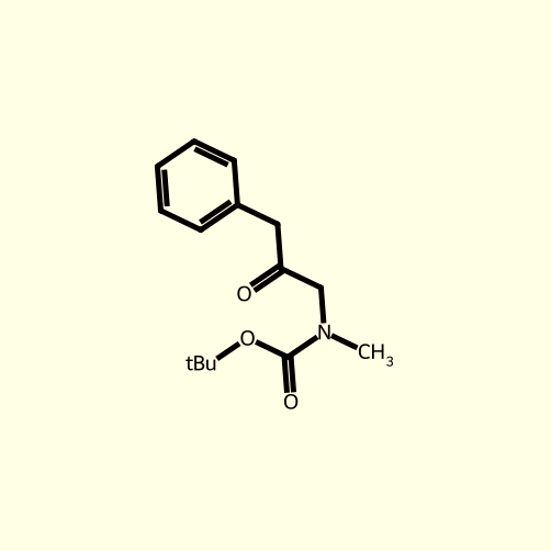 CN(CC(=O)Cc1ccccc1)C(=O)OC(C)(C)C